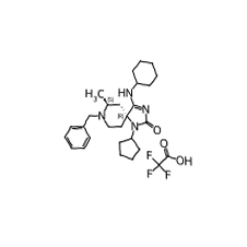 C[C@H]1C[C@]2(CCN1Cc1ccccc1)C(NC1CCCCC1)=NC(=O)N2C1CCCC1.O=C(O)C(F)(F)F